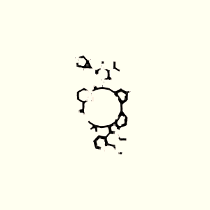 CCn1c(-c2cccnc2[C@H](C)OC)c2c3cc(ccc31)-c1cc(O)cc(c1)C[C@H](NC(=O)[C@H](C(C)C)N(C)C(=O)[C@H]1[C@@H]3CNC[C@@H]31)C(=O)N1CCC[C@H](N1)C(=O)OCC(C)(C)C2